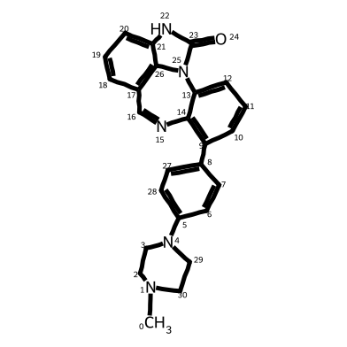 CN1CCN(c2ccc(-c3cccc4c3N=Cc3cccc5[nH]c(=O)n-4c35)cc2)CC1